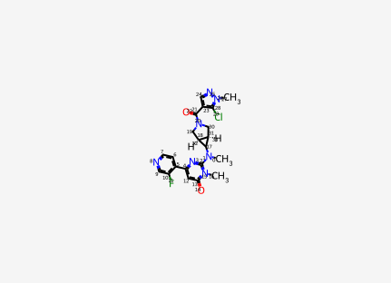 CN(c1nc(-c2ccncc2F)cc(=O)n1C)C1[C@H]2CN(C(=O)c3cnn(C)c3Cl)C[C@@H]12